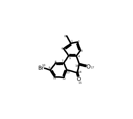 Cc1ccc2c(c1)-c1cc(Br)ccc1C(=O)C2=O